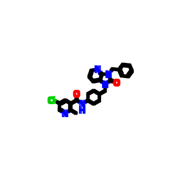 Cc1ncc(Cl)cc1C(=O)NC1CCC(Cn2c(=O)n(Cc3ccccc3)c3ncccc32)CC1